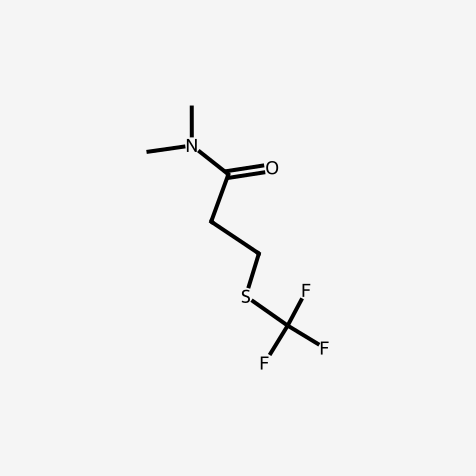 CN(C)C(=O)CCSC(F)(F)F